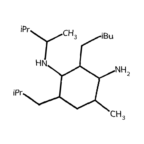 CCC(C)CC1C(N)C(C)CC(CC(C)C)C1NC(C)C(C)C